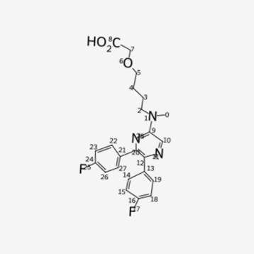 CN(CCCCOCC(=O)O)c1cnc(-c2ccc(F)cc2)c(-c2ccc(F)cc2)n1